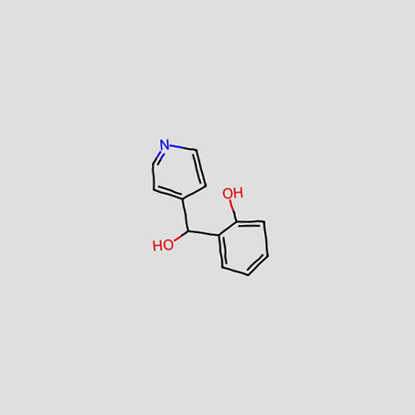 Oc1ccccc1C(O)c1ccncc1